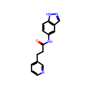 O=C(CCc1cccnc1)Nc1ccc2[nH]ncc2c1